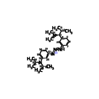 CC(C)C(c1cccc(N/N=N/c2cccc(N(C(C)C)C(C)C)c2)c1)N(C)C